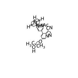 CC(=O)N[C@]12C[C@@H]3C[C@H](C1)N(c1ccc(-c4cc(OCC(C)(C)O)cn5ncc(C#N)c45)cn1)[C@@H](C3)C2